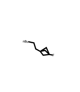 CCCCCCC12CC(F)(C1)C2